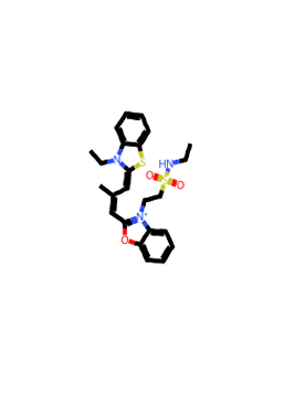 CCNS(=O)(=O)CC[n+]1c(C=C(C)C=C2Sc3ccccc3N2CC)oc2ccccc21